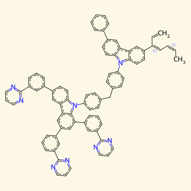 C=C/C(=C\C=C/C)c1ccc2c(c1)c1cc(-c3ccccc3)ccc1n2-c1ccc(Cc2ccc(-n3c4ccc(-c5cccc(-c6ncccn6)c5)cc4c4cc(-c5cccc(-c6ncccn6)c5)cc(-c5cccc(-c6ncccn6)c5)c43)cc2)cc1